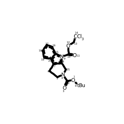 CC(C)(C)OC(=O)N1CCc2c(n(C(=O)OCC(Cl)(Cl)Cl)c3ccccc23)C1